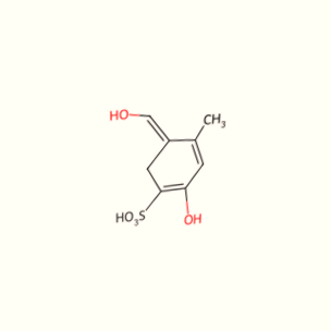 CC1=CC(O)=C(S(=O)(=O)O)CC1=CO